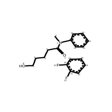 CN(C(=O)CCCCO)c1ccccc1.Fc1ccccc1F